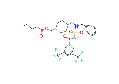 CCCCC(=O)OCC1CCC(CN(Cc2ccccc2)S(=O)(=O)NC(=O)c2cc(C(F)(F)F)cc(C(F)(F)F)c2)CC1